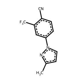 Cc1ccn(-c2ccc(C#N)c(C(F)(F)F)c2)n1